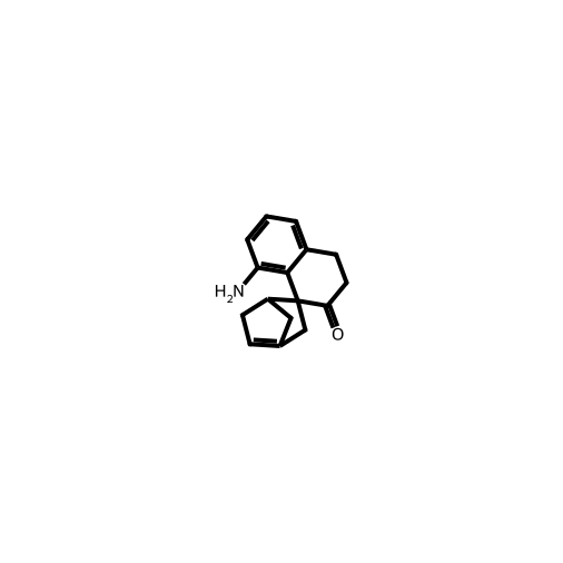 Nc1cccc2c1C1(CC3=CCC1C3)C(=O)CC2